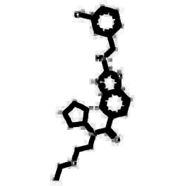 CCOCCN(C(=O)c1ccc2oc(NCc3cccc(Cl)c3)nc2c1)C1CCCC1